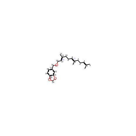 CC(C)=CCC/C(C)=C/CC/C(C)=C/COCc1ccc2c(c1)OCO2